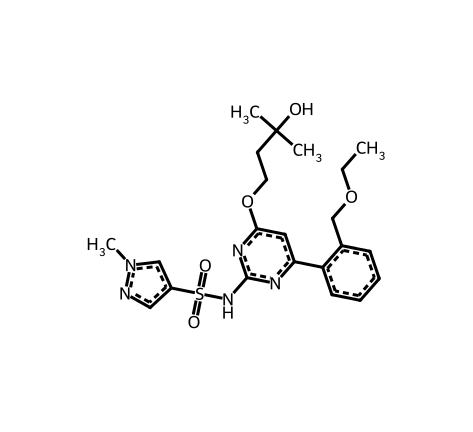 CCOCc1ccccc1-c1cc(OCCC(C)(C)O)nc(NS(=O)(=O)c2cnn(C)c2)n1